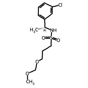 COCOCCCS(=O)(=O)N[C@H](C)c1cccc(Cl)c1